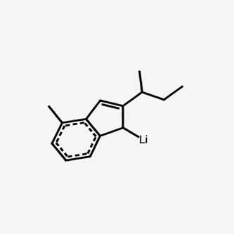 [Li][CH]1C(C(C)CC)=Cc2c(C)cccc21